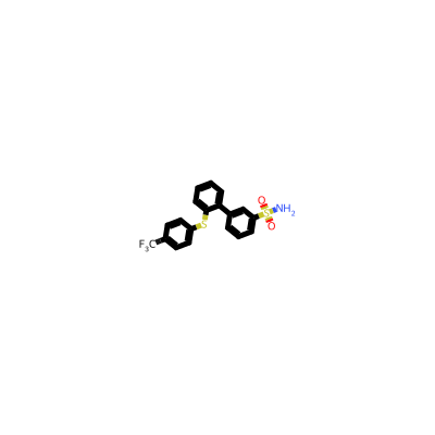 NS(=O)(=O)c1cccc(-c2ccccc2Sc2ccc(C(F)(F)F)cc2)c1